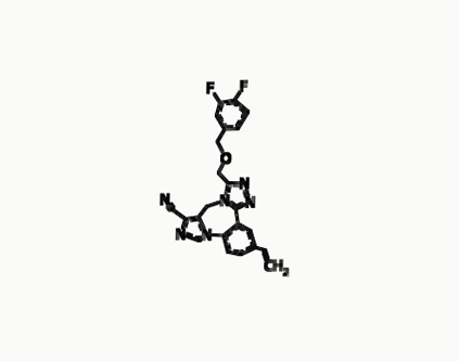 C=Cc1ccc2c(c1)-c1nnc(COCc3ccc(F)c(F)c3)n1Cc1c(C#N)ncn1-2